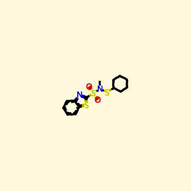 CN(SC1CCCCC1)S(=O)(=O)c1nc2ccccc2s1